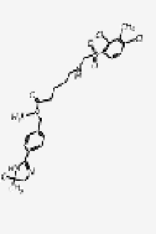 Cc1c(Cl)ccc(S(=O)(=O)CNCCCCC(=O)N(C)Cc2ccc(C3=NCC(C)(C)N3)cc2)c1Cl